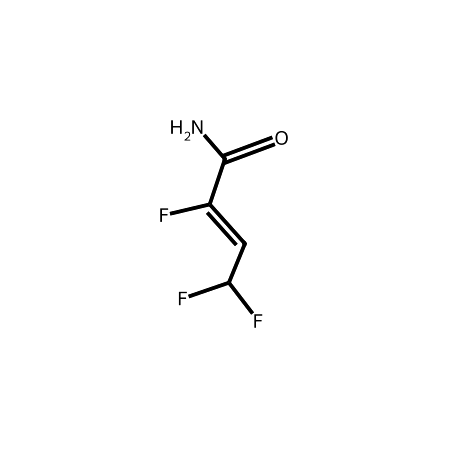 NC(=O)C(F)=CC(F)F